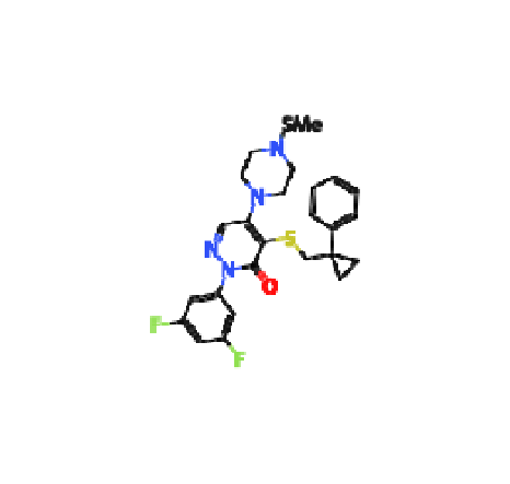 CSN1CCN(c2cnn(-c3cc(F)cc(F)c3)c(=O)c2SCC2(c3ccccc3)CC2)CC1